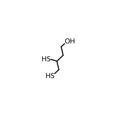 OCCC(S)CS